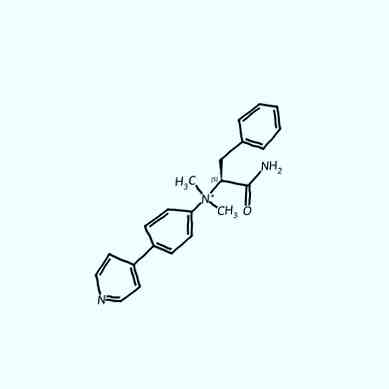 C[N+](C)(c1ccc(-c2ccncc2)cc1)[C@@H](Cc1ccccc1)C(N)=O